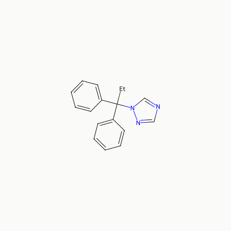 CCC(c1ccccc1)(c1ccccc1)n1cncn1